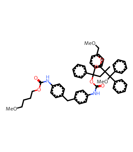 COCCCCOC(=O)Nc1ccc(Cc2ccc(NC(=O)OC(CC(C)(C(=O)OCCOC)C(OC)(c3ccccc3)c3ccccc3)(c3ccccc3)c3ccccc3)cc2)cc1